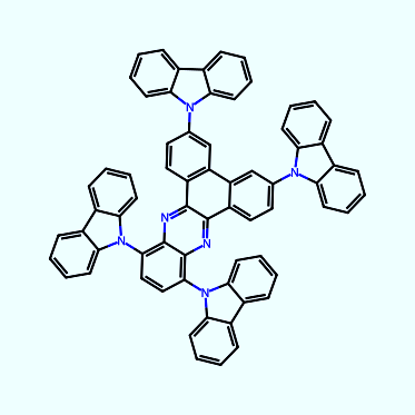 c1ccc2c(c1)c1ccccc1n2-c1ccc2c(c1)c1cc(-n3c4ccccc4c4ccccc43)ccc1c1nc3c(-n4c5ccccc5c5ccccc54)ccc(-n4c5ccccc5c5ccccc54)c3nc21